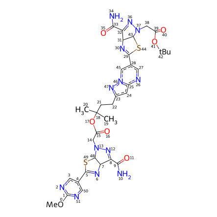 COc1ncc(C2=NC3C(C(N)=O)=NN(CC(=O)OC(C)(C)CCc4cc5ncc(C6=NC7C(C(N)=O)=NN(CC(=O)OC(C)(C)C)C7S6)cn5n4)C3S2)cn1